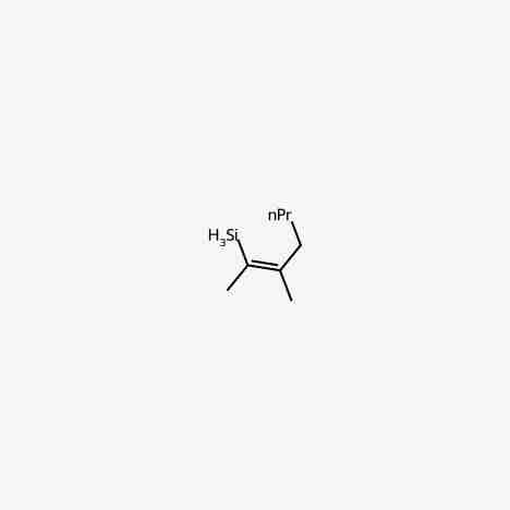 CCCCC(C)=C(C)[SiH3]